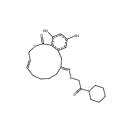 O=C1OC/C=C/CCCCC(=NOCC(=O)N2CCCCC2)Cc2cc(O)cc(O)c21